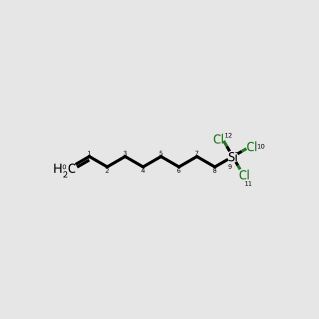 C=CCCCCCCC[Si](Cl)(Cl)Cl